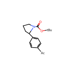 CC(=O)c1ccc(C2CCCN2C(=O)OC(C)(C)C)cc1